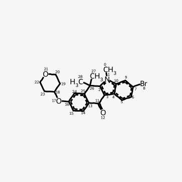 Cn1c2c(c3ccc(Br)cc31)C(=O)c1ccc(OC3CCOCC3)cc1C2(C)C